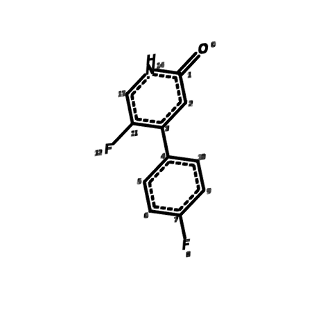 O=c1cc(-c2ccc(F)cc2)c(F)c[nH]1